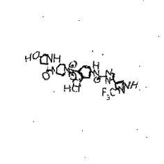 Cl.Cn1c(-c2c[nH]nc2C(F)(F)F)cnc1C(=O)Nc1ccc(S(=O)(=O)N2CCN(C(=O)[C@@H]3C[C@@H](O)CN3)CC2)c(Cl)c1